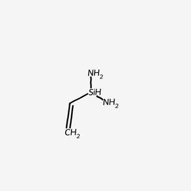 C=C[SiH](N)N